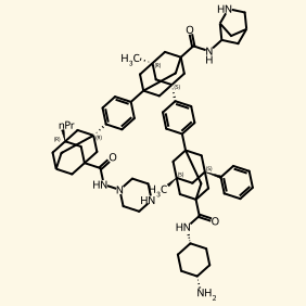 CCC[C@]12CC3CC(C(=O)NN4CCNCC4)(C1)C[C@@](c1ccc(C45CC6(C(=O)NC7CC8CNC7C8)C[C@](C)(C4)C[C@@](c4ccc(C78CC9(C(=O)N[C@H]%10CC[C@@H](N)CC%10)C[C@](C)(C7)C[C@@](c7ccccc7)(C9)C8)cc4)(C6)C5)cc1)(C3)C2